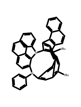 CC(C)(C)c1c2cc3ccc2c(C(C)(C)C)c2c4c(c(cc12)-c1ccc2ccccc2c1-4)n(-c1ccccc1)c1c2ccccc2ccc1n3-c1ccccc1